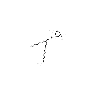 CCCCCCCCCCC(CCCCCCCC)COC(=O)NC1CC(C)(C)CC(C)(CN)C1